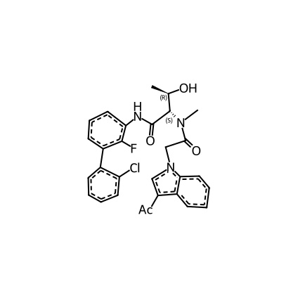 CC(=O)c1cn(CC(=O)N(C)[C@H](C(=O)Nc2cccc(-c3ccccc3Cl)c2F)[C@@H](C)O)c2ccccc12